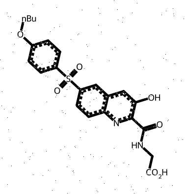 CCCCOc1ccc(S(=O)(=O)c2ccc3nc(C(=O)NCC(=O)O)c(O)cc3c2)cc1